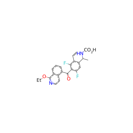 C=Cc1c(C(C)NC(=O)O)cc(F)c(C(=O)c2cccc3c(OCC)nccc23)c1F